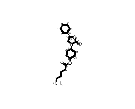 CCCCCC(=O)Oc1ccc(N2C[C@@H](c3ccccc3)OC2=O)cc1